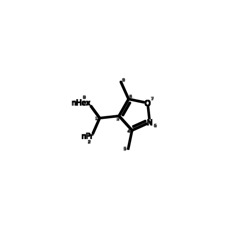 CCCCCCC(CCC)c1c(C)noc1C